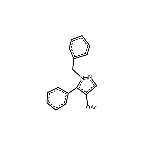 CC(=O)Oc1cnn(Cc2ccccc2)c1-c1ccccc1